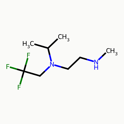 CNCCN(CC(F)(F)F)C(C)C